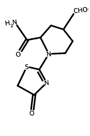 NC(=O)C1CC([C]=O)CCN1C1=NC(=O)CS1